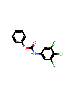 O=C(Nc1cc(Cl)c(Cl)c(Cl)c1)Oc1ccccc1